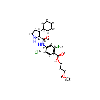 CCOCCCOC(=O)c1ccc(NC(=O)[C@H]2NCC[C@H]2C2CCCCC2)cc1F.Cl